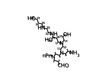 CCCN(CCC=O)CCN(CCN)CCN(CCO)CCC(O)NCCNCCCO